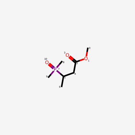 COC(=O)CC(C)P(C)(C)=O